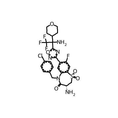 N[C@H]1CS(=O)(=O)c2cc(F)c(-c3noc(C(N)(C4CCOCC4)C(F)(F)F)n3)cc2N(Cc2ccc(Cl)cc2)C1=O